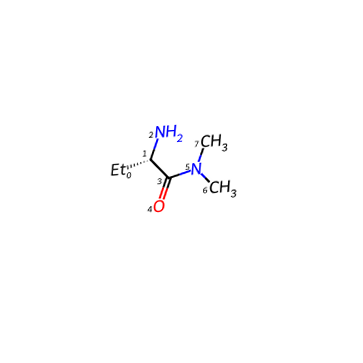 CC[C@H](N)C(=O)N(C)C